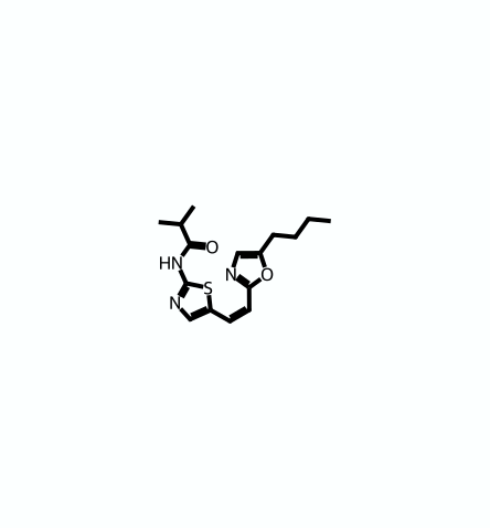 CCCCc1cnc(/C=C\c2cnc(NC(=O)C(C)C)s2)o1